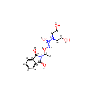 CC(O/N=[N+](\[O-])N(CCO)CCO)N1C(=O)c2ccccc2C1=O